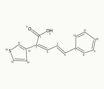 O=C(O)C(=CC=Cc1ccccc1)c1ccsc1